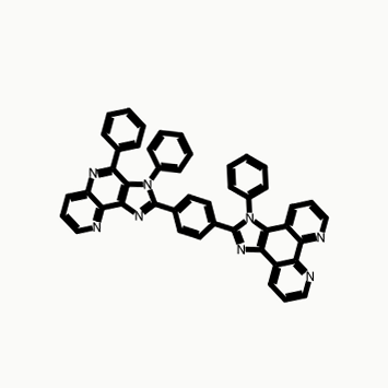 c1ccc(-c2nc3cccnc3c3nc(-c4ccc(-c5nc6c7cccnc7c7ncccc7c6n5-c5ccccc5)cc4)n(-c4ccccc4)c23)cc1